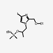 CCOCc1nc(I)cn1CC(C)O[Si](C)(C)C(C)(C)C